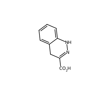 O=C(O)C1=NNc2ccccc2C1